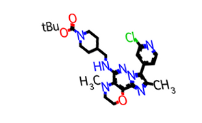 Cc1nc2c3c(c(NCC4CCN(C(=O)OC(C)(C)C)CC4)nn2c1-c1ccnc(Cl)c1)N(C)CCO3